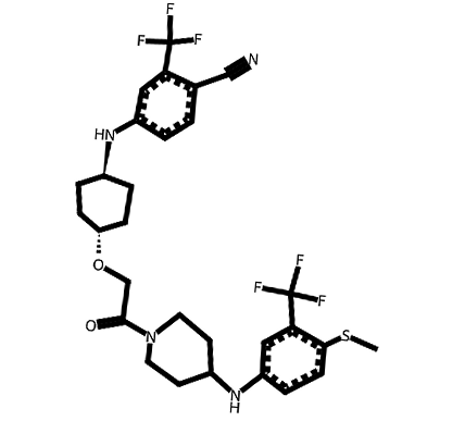 CSc1ccc(NC2CCN(C(=O)CO[C@H]3CC[C@H](Nc4ccc(C#N)c(C(F)(F)F)c4)CC3)CC2)cc1C(F)(F)F